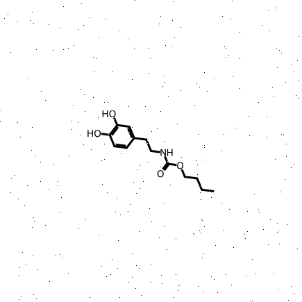 CCCCOC(=O)NCCc1ccc(O)c(O)c1